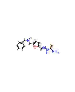 CN(Cc1ccccc1)Cc1ccc(/C=N/NC(N)=S)o1